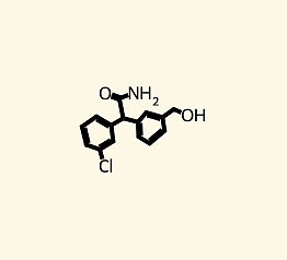 NC(=O)C(c1cccc(Cl)c1)c1cccc(CO)c1